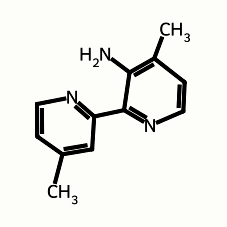 Cc1ccnc(-c2nccc(C)c2N)c1